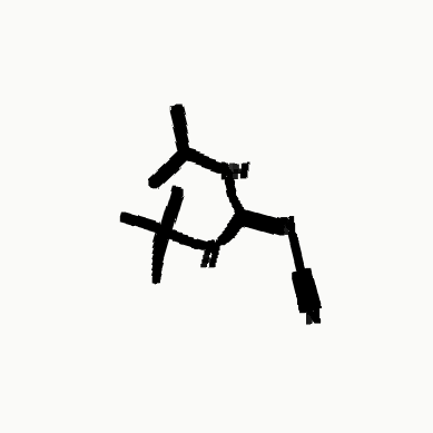 CC(C)N/C(=N/C#N)NC(C)(C)C